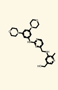 Cc1ncc(CO)cc1NCc1ccnc(Nc2cc(N3CCOCC3)cc(N3CCOCC3)c2)n1